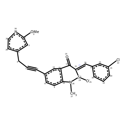 COc1cc(CC#Cc2ccc3c(c2)C(=O)/C(=C/c2cccc(Cl)c2)[S+]([O-])N3C)ccn1